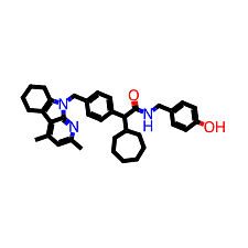 Cc1cc(C)c2c3c(n(Cc4ccc(C(C(=O)NCc5ccc(O)cc5)C5CCCCCC5)cc4)c2n1)CCCC3